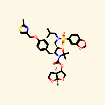 Cc1nc(COc2ccc(C[C@H]3[C@@H](CN(CC(C)C)S(=O)(=O)c4ccc5c(c4)OCO5)OC(C)(C)N3C(=O)O[C@H]3CO[C@H]4OCC[C@H]43)cc2)cs1